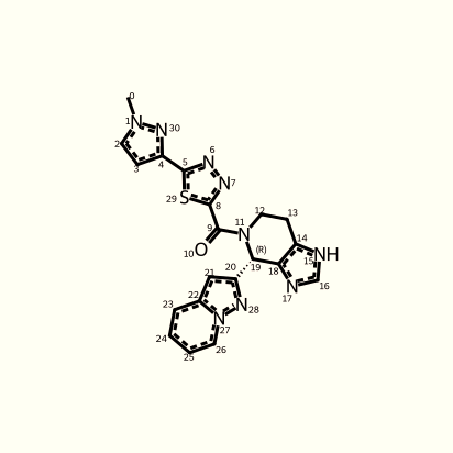 Cn1ccc(-c2nnc(C(=O)N3CCc4[nH]cnc4[C@@H]3c3cc4ccccn4n3)s2)n1